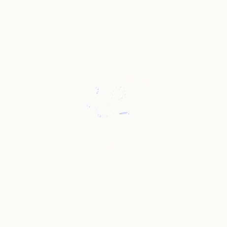 N#Cc1c(SCC2COC2)nc(N2CCCC2)c(C#N)c1-c1ccc(OC2COC2)cc1